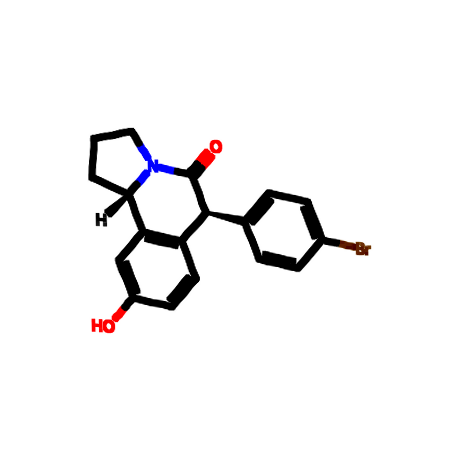 O=C1[C@@H](c2ccc(Br)cc2)c2ccc(O)cc2[C@@H]2CCCN12